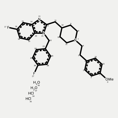 COc1ccc(CCN2CCC(Cc3nc4cc(F)ccc4n3Cc3ccc(F)cc3)CC2)cc1.Cl.Cl.O.O